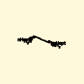 CCCCCCCc1cc(Cc2ccc(CCCCCCCCCCCCCCc3ccc(Cc4ccc(N)c(CCCCCCC)c4)cc3)cc2)ccc1N